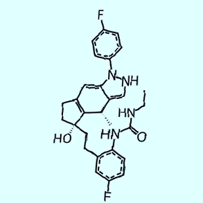 CCNC(=O)Nc1ccc(F)cc1CC[C@@]1(O)CCC2=C1[C@@H](C)C1=CNN(c3ccc(F)cc3)C1=C2